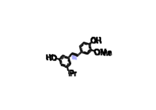 COc1cc(/C=C/c2cc(O)cc(C(C)C)c2)ccc1O